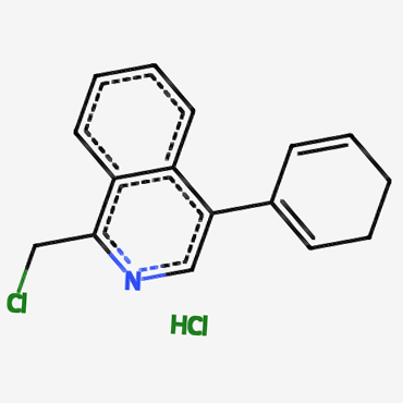 Cl.ClCc1ncc(C2=CCCC=C2)c2ccccc12